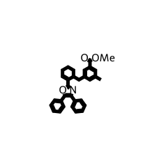 COC(=O)c1cc(C)cc(CC2CCCC=C2c2nc(-c3ccccc3)c(-c3ccccc3)o2)c1